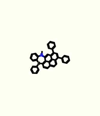 CN1c2ccccc2B(c2ccccc2)c2ccc3ccc4c(-c5ccccc5)cc(-c5ccccc5)c5cc1c2c3c45